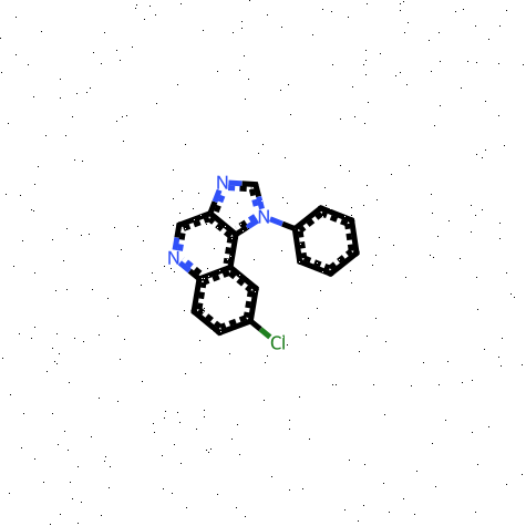 Clc1ccc2ncc3ncn(-c4ccccc4)c3c2c1